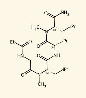 CCC(=O)NCC(=O)N(C)[C@@H](CC(C)C)C(=O)N[C@H](C(=O)N(C)[C@@H](CC(C)C)C(N)=O)C(C)C